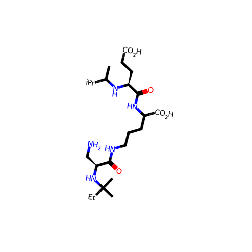 CCC(C)(C)N[C@@H](CN)C(=O)NCCCC(NC(=O)[C@H](CCC(=O)O)NC(C)C(C)C)C(=O)O